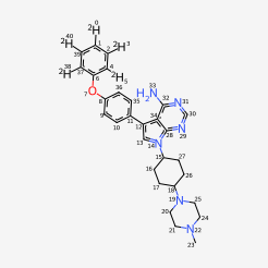 [2H]c1c([2H])c([2H])c(Oc2ccc(-c3cn(C4CCC(N5CCN(C)CC5)CC4)c4ncnc(N)c34)cc2)c([2H])c1[2H]